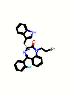 CC(C)CCN1C(=O)[C@@H](Cc2c[nH]c3ccccc23)N=C(c2ccccc2F)c2ccccc21